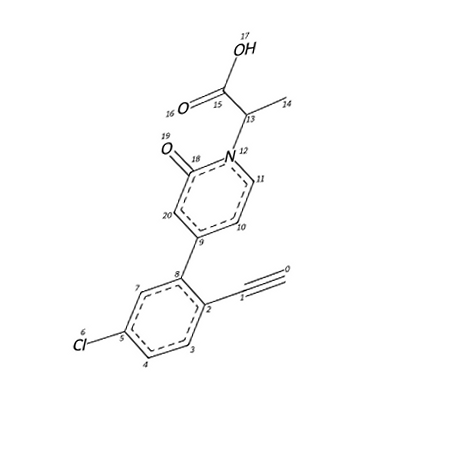 C#Cc1ccc(Cl)cc1-c1ccn(C(C)C(=O)O)c(=O)c1